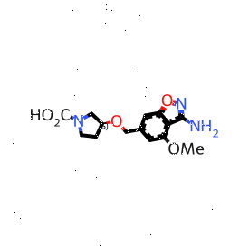 COc1cc(CO[C@H]2CCN(C(=O)O)C2)cc2onc(N)c12